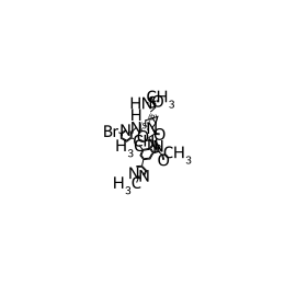 CC(=O)c1nn(CC(=O)N2C3C[C@]3(CCS(C)(=N)=O)C[C@H]2C(=O)Nc2nc(Br)ccc2C)c2c(C)cc(-c3cnc(C)nc3)cc12